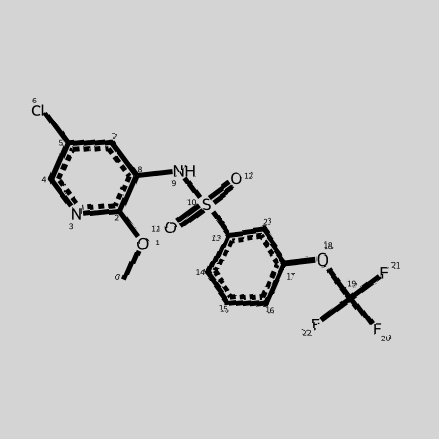 COc1ncc(Cl)cc1NS(=O)(=O)c1cccc(OC(F)(F)F)c1